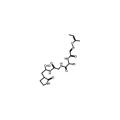 C/C=C(/C)O/N=C/C(=O)NC(C(=O)NCC(=O)NC(C=O)CC1CCNC1=O)C(C)C